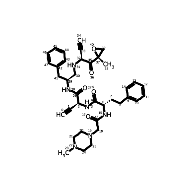 C#C[C@H](NC(=O)[C@H](CCc1ccccc1)NC(=O)CN1CCN(C)CC1)C(=O)N[C@H](CN[C@@H](C#C)C(=O)[C@@]1(C)CO1)Cc1ccccc1